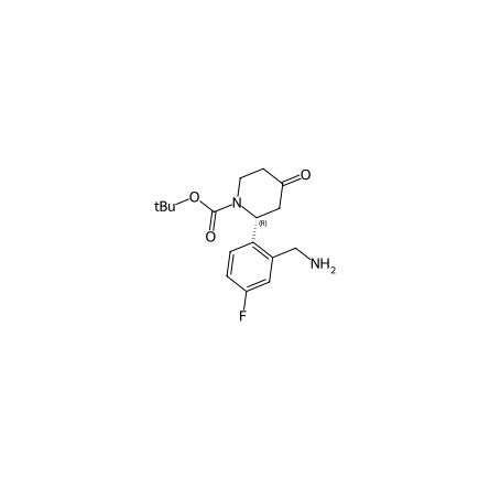 CC(C)(C)OC(=O)N1CCC(=O)C[C@@H]1c1ccc(F)cc1CN